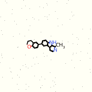 Cc1nccc2c1[nH]c1ccc(-c3ccc4c(c3)CCCO4)cc12